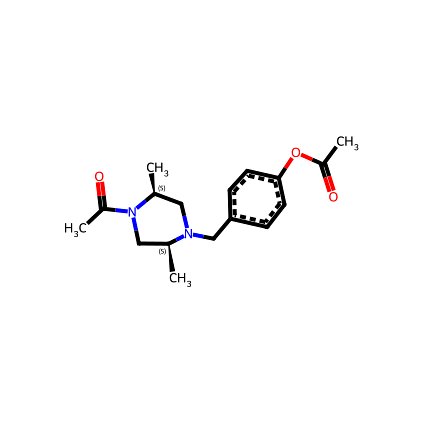 CC(=O)Oc1ccc(CN2C[C@H](C)N(C(C)=O)C[C@@H]2C)cc1